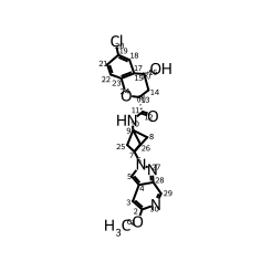 COc1cc2cn(C34CC(NC(=O)[C@H]5C[C@@H](O)c6cc(Cl)ccc6O5)(C3)C4)nc2cn1